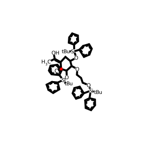 C=C1C(=C(C)O)CC(O[Si](c2ccccc2)(c2ccccc2)C(C)(C)C)C(OCCCO[Si](c2ccccc2)(c2ccccc2)C(C)(C)C)C1O[Si](c1ccccc1)(c1ccccc1)C(C)(C)C